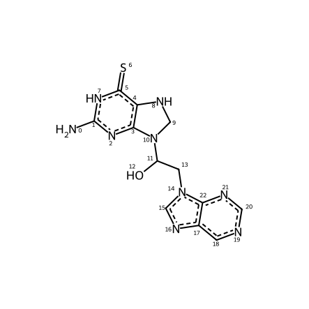 Nc1nc2c(c(=S)[nH]1)NCN2C(O)Cn1cnc2cncnc21